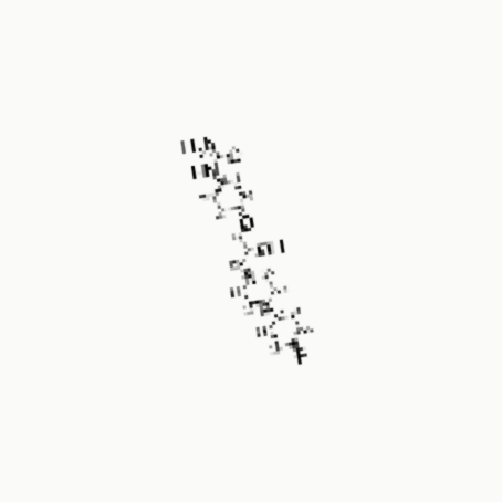 NC(=O)Nc1ccc(OCC(O)CN2CC=C(c3ccc(F)cc3)CC2)cc1